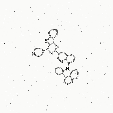 c1ccc2c(c1)-c1cccc3cccc(c13)N2c1cccc2cc(-c3nc(-c4ccncc4)c4sc5ccccc5c4n3)ccc12